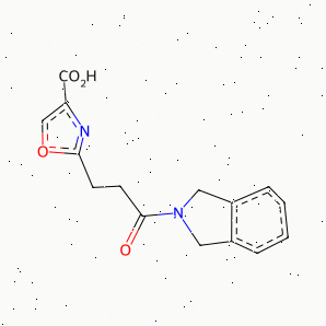 O=C(O)c1coc(CCC(=O)N2Cc3ccccc3C2)n1